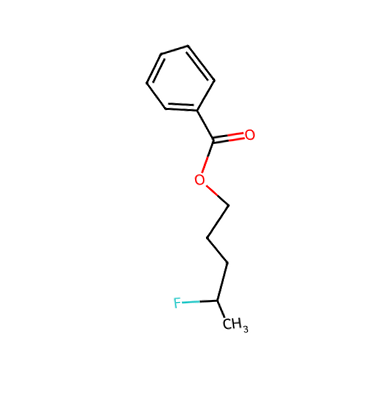 CC(F)CCCOC(=O)c1ccccc1